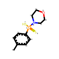 Cc1ccc(P(=S)(S)N2CCOCC2)cc1